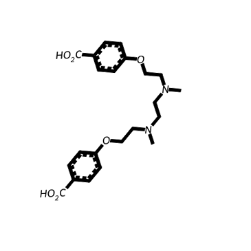 CN(CCOc1ccc(C(=O)O)cc1)CCN(C)CCOc1ccc(C(=O)O)cc1